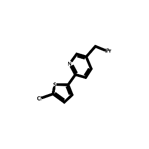 CC(C)Cc1ccc(-c2ccc(Cl)s2)nc1